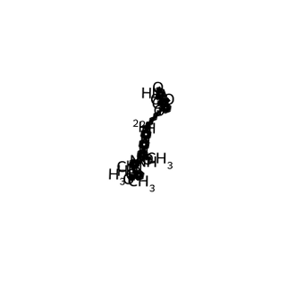 [2H]C([2H])(CCCCCCOc1cccc2c1C(=O)N(C1CCC(=O)NC1=O)C2=O)N1CCN(C2CCN(c3ccc(Nc4ncc(Cl)c(Nc5ccccc5P(C)(C)=O)n4)c(OC)c3)CC2)CC1